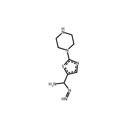 N=NC(N)c1cnc(N2CCNCC2)s1